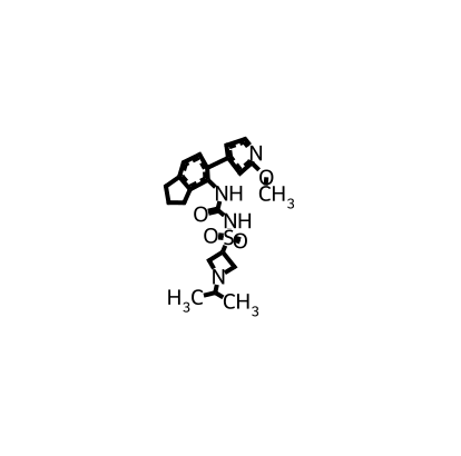 COc1cc(-c2ccc3c(c2NC(=O)NS(=O)(=O)C2CN(C(C)C)C2)CCC3)ccn1